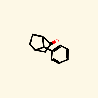 O=C1CC2CCC1C2c1ccccc1